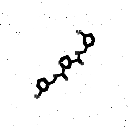 O=C(NCc1cccc(C(F)(F)F)c1)c1ccnc(C(=O)NCc2cccc(C(F)(F)F)c2)c1